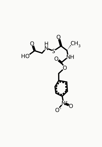 C[C@H](NC(=O)OCc1ccc([N+](=O)[O-])cc1)C(=O)SNCC(=O)O